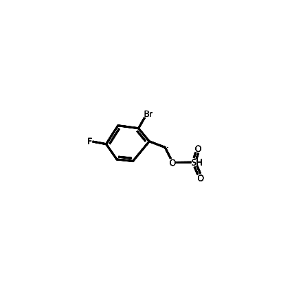 O=[SH](=O)O[CH]c1ccc(F)cc1Br